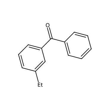 [CH2]Cc1cccc(C(=O)c2ccccc2)c1